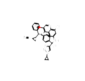 [2H][C@](Nc1cc(Cl)c2ncc(C#N)c(N[C@H](c3ccccc3)[C@H]3C[C@@H]3C#N)c2c1)(c1ccc(F)cc1)c1cn(C2CC2)nn1